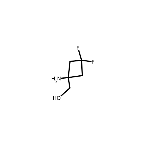 NC1(CO)CC(F)(F)C1